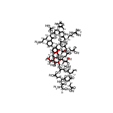 CC[C@H](C)[C@H](NC(=O)[C@H](CCC(=O)O)NC(=O)[C@H](CCC(=O)O)NC(=O)[C@@H](N)[C@@H](C)O)C(=O)N[C@@H](CO)C(=O)N[C@@H](CCC(=O)O)C(=O)N[C@H](C(=O)N[C@@H](CC(N)=O)C(=O)N[C@@H](CC(C)C)C(=O)N[C@@H](CC(=O)O)C(=O)N[C@@H](C)C(=O)N[C@@H](CCC(=O)O)C(=O)N[C@@H](Cc1ccccc1)C(=O)N[C@@H](CCCNC(=N)N)C(=O)N[C@@H](Cc1c[nH]cn1)C(=O)N[C@@H](CC(=O)O)C(=O)N[C@@H](CCCCN)C(=O)C1CCCCC1)C(C)C